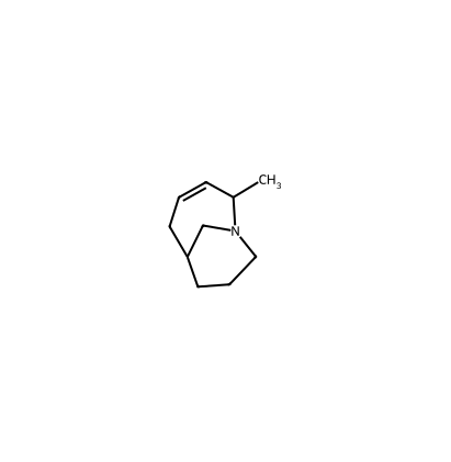 CC1C=CCC2CCCN1C2